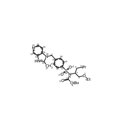 CCOCC(CC(C)C)N(C(=O)OCC(C)C)S(=O)(=O)c1ccc(CN2c3ccncc3NC2C)cc1